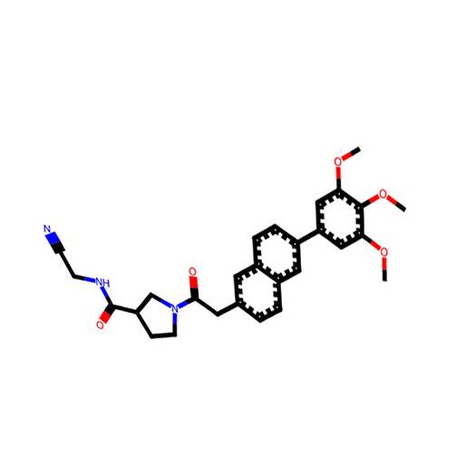 COc1cc(-c2ccc3cc(CC(=O)N4CCC(C(=O)NCC#N)C4)ccc3c2)cc(OC)c1OC